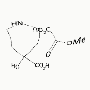 COC(=O)C(=O)O.O=C(O)C1(O)CCNCC1